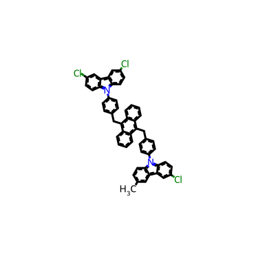 Cc1ccc2c(c1)c1cc(Cl)ccc1n2-c1ccc(Cc2c3ccccc3c(Cc3ccc(-n4c5ccc(Cl)cc5c5cc(Cl)ccc54)cc3)c3ccccc23)cc1